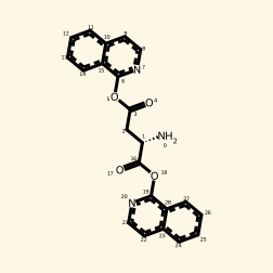 N[C@@H](CC(=O)Oc1nccc2ccccc12)C(=O)Oc1nccc2ccccc12